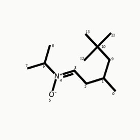 CC(CC=[N+]([O-])C(C)C)CC(C)(C)C